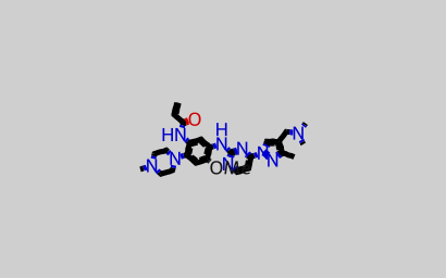 C=CC(=O)Nc1cc(Nc2nccc(-n3cc(CN(C)C)c(C)n3)n2)c(OC)cc1N1CCN(C)CC1